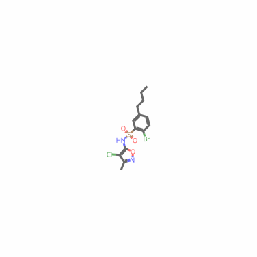 CCCCc1ccc(Br)c(S(=O)(=O)Nc2onc(C)c2Cl)c1